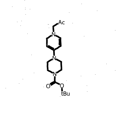 CC(=O)CN1C=CC(N2CCN(C(=O)OC(C)(C)C)CC2)=CC1